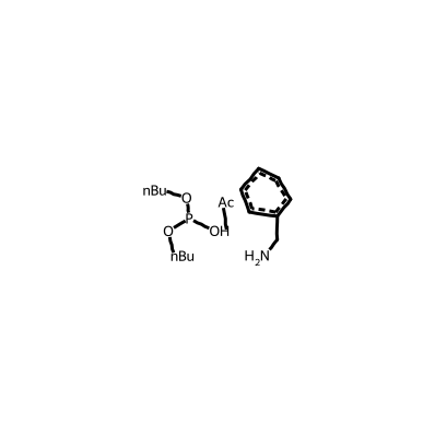 CC(C)=O.CCCCOP(O)OCCCC.NCc1ccccc1